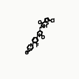 O=C(NC[C@@H]1CC(=O)N(c2ccc(N3CC[S+]([O-])CC3)c(F)c2)C1)c1ccc(Cl)s1